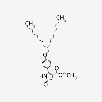 CCCCCCCCC(CCCCCCCC)COc1ccc(C2=C(C(=O)OCC)CC(=O)N2)cc1